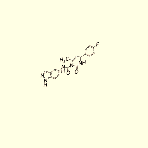 CC1=CC(c2ccc(F)cc2)NC(=O)N1C(=O)Nc1ccc2[nH]ncc2c1